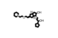 O[C@H](C=C[C@@H]1[C@H]2CC(=CCOCCN3CCCCC3)C[C@H]2C[C@H]1O)C1CCCC1